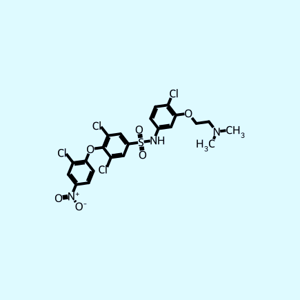 CN(C)CCOc1cc(NS(=O)(=O)c2cc(Cl)c(Oc3ccc([N+](=O)[O-])cc3Cl)c(Cl)c2)ccc1Cl